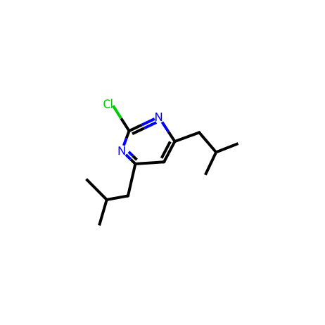 CC(C)Cc1cc(CC(C)C)nc(Cl)n1